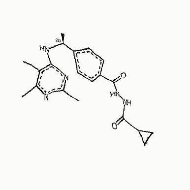 Cc1nc(C)c(C)c(N[C@@H](C)c2ccc(C(=O)NNC(=O)C3CC3)cc2)n1